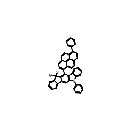 CC1(C)c2ccccc2-c2cc3c(c(-c4ccc5ccc6c(-c7ccccc7)ccc7ccc4c5c76)c21)c1ccccc1n3-c1ccccc1